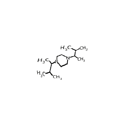 CC(C)C(C)N1CCN(C(C)C(C)C)CC1